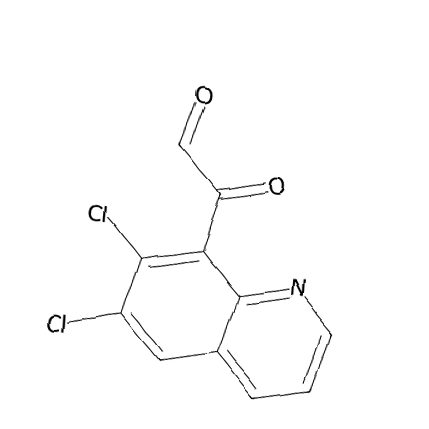 O=CC(=O)c1c(Cl)c(Cl)cc2cccnc12